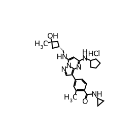 Cc1cc(-c2cnn3c(NC[C@H]4C[C@@](C)(O)C4)cc(NC4CCCC4)nc23)ccc1C(=O)NC1CC1.Cl